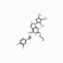 CCCSc1nc(N[C@@H]2C[C@H]2c2ccc(F)c(F)c2)c2nnn(C3CC(O)C(O)C3O)c2n1